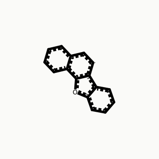 [c]1cc2ccccc2c2oc3ccccc3c12